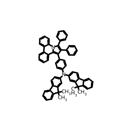 CC1(C)c2ccccc2-c2ccc(N(c3ccc(-c4c(-c5ccccc5)c(-c5ccccc5)n5c6ccccc6c6ccccc6c45)cc3)c3ccc4c(c3)C(C)(C)c3ccccc3-4)cc21